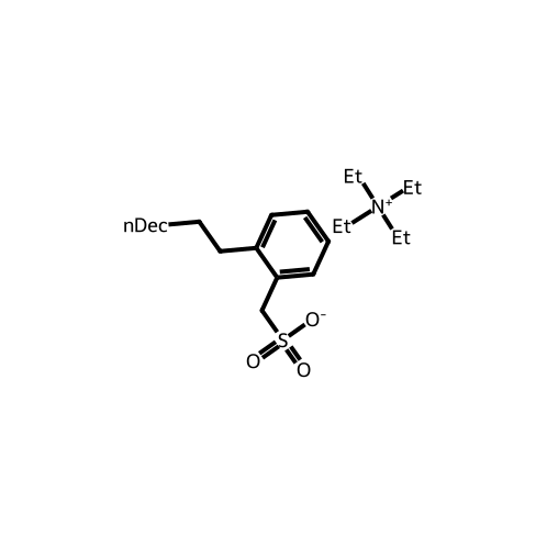 CCCCCCCCCCCCc1ccccc1CS(=O)(=O)[O-].CC[N+](CC)(CC)CC